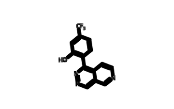 Oc1cc(C(F)(F)F)ccc1-c1nncc2cnccc12